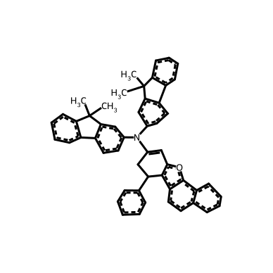 CC1(C)c2ccccc2-c2ccc(N(C3=Cc4oc5c(ccc6ccccc65)c4C(c4ccccc4)C3)c3ccc4c(c3)C(C)(C)c3ccccc3-4)cc21